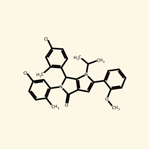 COc1ccccc1-c1cc2c(n1C(C)C)C(c1ccc(Cl)cc1C)N(c1cc(Cl)ccc1C)C2=O